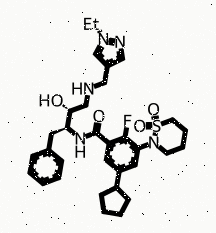 CCn1cc(CNC[C@@H](O)[C@H](Cc2ccccc2)NC(=O)c2cc(C3CCCC3)cc(N3CCCCS3(=O)=O)c2F)cn1